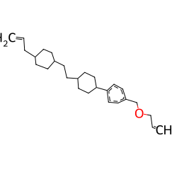 C=CCOCc1ccc(C2CCC(CCC3CCC(CC=C)CC3)CC2)cc1